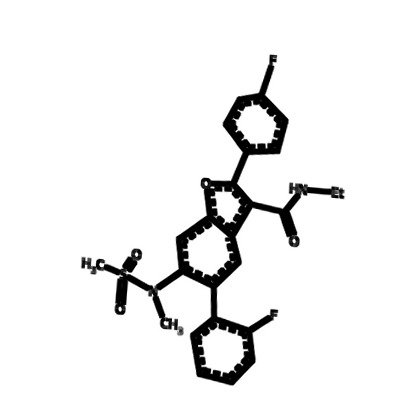 CCNC(=O)c1c(-c2ccc(F)cc2)oc2cc(N(C)S(C)(=O)=O)c(-c3ccccc3F)cc12